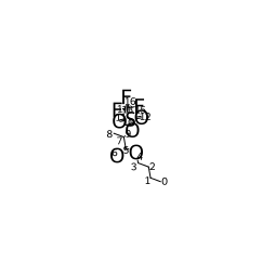 CCCCOC(=O)C(C)OS(=O)(=O)C(F)(F)F